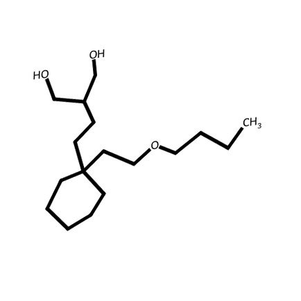 CCCCOCCC1(CCC(CO)CO)CCCCC1